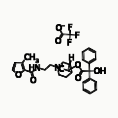 Cc1ccoc1C(=O)NCC[N+]12CCC(CC1)[C@@H](OC(=O)C(O)(c1ccccc1)c1ccccc1)C2.O=C([O-])C(F)(F)F